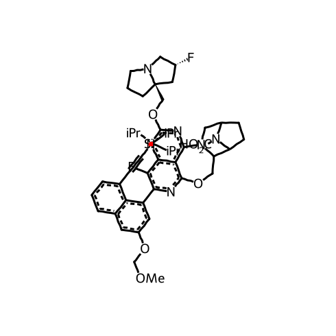 COCOc1cc(-c2nc3c4c(nc(OC[C@@]56CCCN5C[C@H](F)C6)nc4c2F)N2CC4CCC(C2CO3)N4C(=O)O)c2c(C#C[Si](C(C)C)(C(C)C)C(C)C)cccc2c1